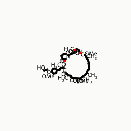 CO[C@H]1C[C@@H]2CC[C@@H](C)[C@@](O)(O2)C(=O)C(=O)N2CCCC[C@H]2C(=O)O[C@H]([C@H](C)CC2CC[C@@H](OCCO)[C@H](OC)C2)CC(=O)[C@H](C)/C=C(\C)[C@@H](O)[C@@H](OC)C(=O)[C@H](C)C[C@H](C)/C=C/C=C/C=C/1C